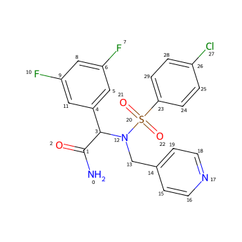 NC(=O)C(c1cc(F)cc(F)c1)N(Cc1ccncc1)S(=O)(=O)c1ccc(Cl)cc1